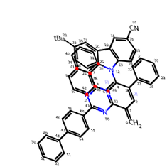 C=C(/C=C(\C(=C\c1ccccc1)n1c2ccc(C#N)cc2c2cc(C(C)(C)C)ccc21)c1ccccc1)c1nc(-c2ccccc2)nc(-c2ccc(-c3ccccc3)cc2)n1